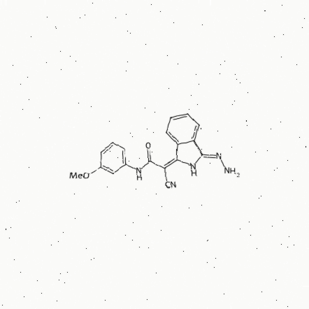 COc1cccc(NC(=O)C(C#N)=C2NC(=NN)c3ccccc32)c1